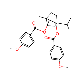 COc1ccc(C(=O)OC2C(OC(=O)c3ccc(OC)cc3)C3(C(C)C)CCC2(C)CC3)cc1